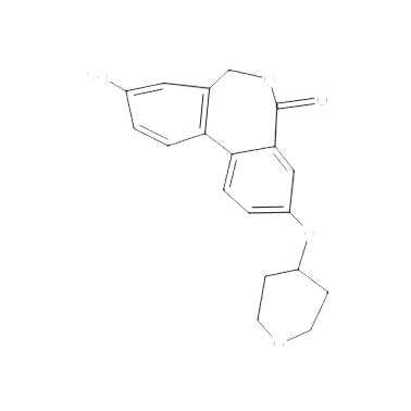 O=C1OCc2cc(O)ccc2-c2ccc(OC3CCOCC3)cc21